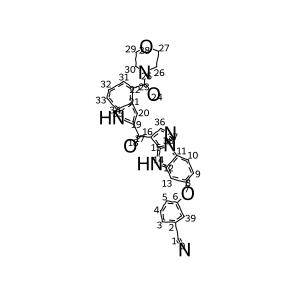 N#Cc1cccc(Oc2ccc3c(c2)[nH]c2c(C(=O)c4cc5c(C(=O)N6CCOCC6)cccc5[nH]4)cnn23)c1